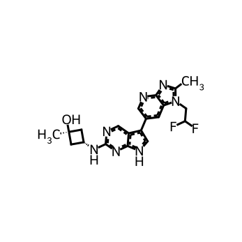 Cc1nc2ncc(-c3c[nH]c4nc(N[C@H]5C[C@](C)(O)C5)ncc34)cc2n1CC(F)F